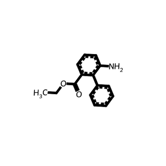 CCOC(=O)c1cccc(N)c1-c1ccccc1